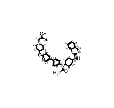 CC(=O)N(c1ccc(-c2ccc(OC3CCN(CC(=O)O)CC3)nc2)cc1)C1CCC(Nc2ncc3ccccc3n2)CC1